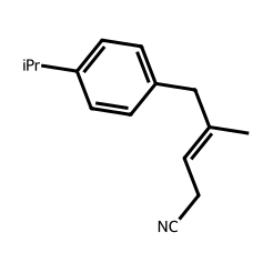 CC(=CCC#N)Cc1ccc(C(C)C)cc1